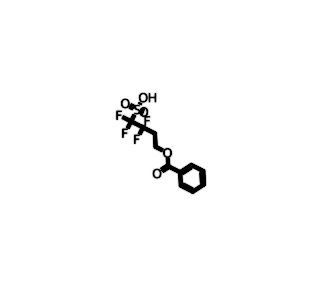 O=C(OCCC(F)(F)C(F)(F)S(=O)(=O)O)c1ccccc1